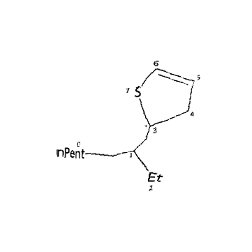 CCCCCC(CC)[C]1CC=CS1